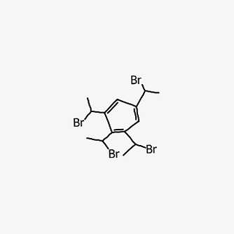 CC(Br)c1cc(C(C)Br)c(C(C)Br)c(C(C)Br)c1